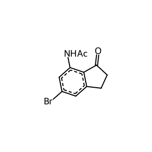 CC(=O)Nc1cc(Br)cc2c1C(=O)CC2